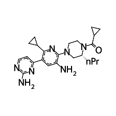 CCC[C@@H]1CN(c2nc(C3CC3)c(-c3ccnc(N)n3)cc2N)CCN1C(=O)C1CC1